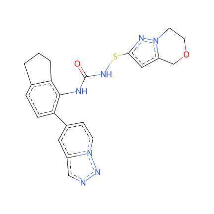 O=C(NSc1cc2n(n1)CCOC2)Nc1c(-c2ccn3nncc3c2)ccc2c1CCC2